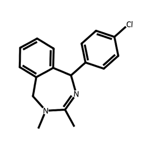 CC1=NC(c2ccc(Cl)cc2)c2ccccc2CN1C